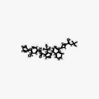 CC(C)(C)CC(=O)N1CC(c2ncc(-n3ncc(C(=O)Nc4cnc(-n5nccn5)c(Cl)c4)c3C(F)(F)F)c3ccccc23)C1